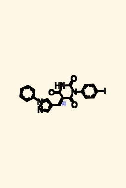 O=C1NC(=O)N(c2ccc(I)cc2)C(=O)/C1=C/c1cnn(-c2ccccc2)c1